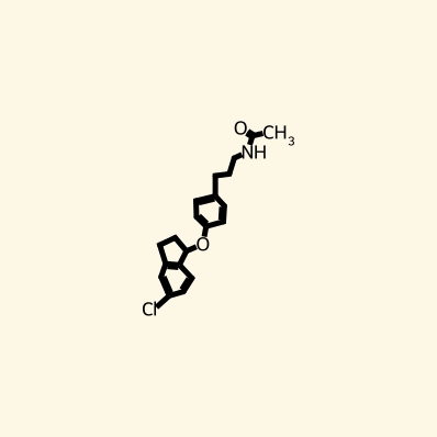 CC(=O)NCCCc1ccc(OC2CCc3cc(Cl)ccc32)cc1